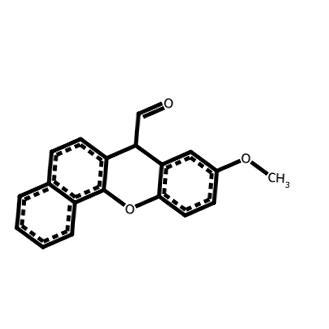 COc1ccc2c(c1)C(C=O)c1ccc3ccccc3c1O2